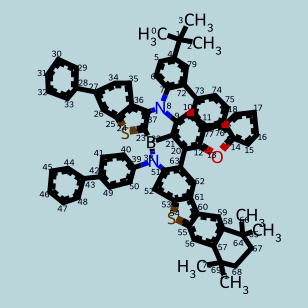 CC(C)(C)c1ccc(N2c3cc4c(oc5ccccc54)c4c3B(c3sc5cc(-c6ccccc6)ccc5c32)N(c2ccc(-c3ccccc3)cc2)c2cc3sc5cc6c(cc5c3cc2-4)C(C)(C)CCC6(C)C)c(-c2ccccc2)c1